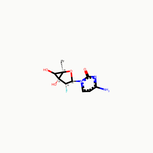 CC(C)[C@]12O[C@@H](n3ccc(N)nc3=O)[C@H](F)[C@@]1(O)C2O